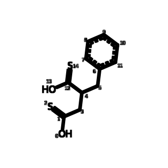 OC(=S)CC(Cc1ccccc1)C(O)=S